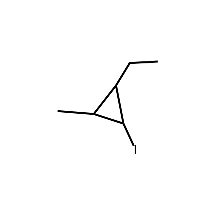 CCC1C(C)C1I